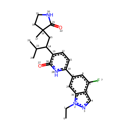 CCn1ncc2c(F)cc(-c3ccc(C(CC4(C)CCNC4=O)C(C)C)c(=O)[nH]3)cc21